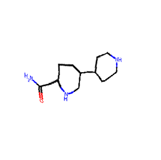 NC(=O)C1CCC(C2CCNCC2)CN1